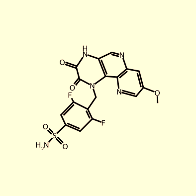 COc1cnc2c(c1)ncc1[nH]c(=O)c(=O)n(Cc3c(F)cc(S(N)(=O)=O)cc3F)c12